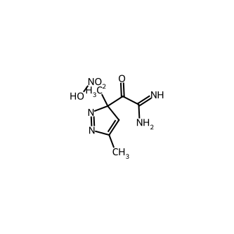 CC1=CC(C)(C(=O)C(=N)N)N=N1.O=[N+]([O-])O